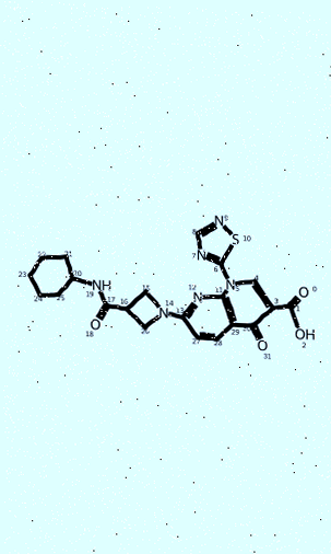 O=C(O)c1cn(-c2ncns2)c2nc(N3CC(C(=O)NC4CCCCC4)C3)ccc2c1=O